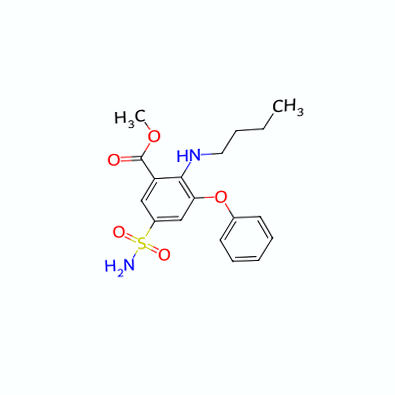 CCCCNc1c(Oc2ccccc2)cc(S(N)(=O)=O)cc1C(=O)OC